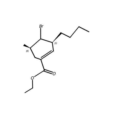 CCCC[C@H]1C=C(C(=O)OCC)C[C@@H](C)C1Br